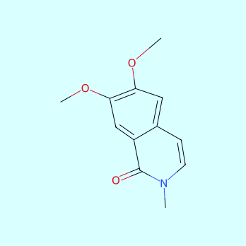 COc1cc2ccn(C)c(=O)c2cc1OC